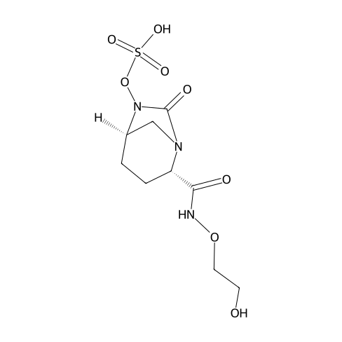 O=C(NOCCO)[C@@H]1CC[C@@H]2CN1C(=O)N2OS(=O)(=O)O